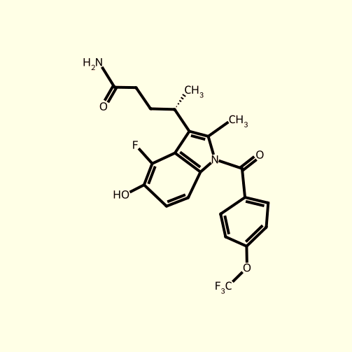 Cc1c([C@@H](C)CCC(N)=O)c2c(F)c(O)ccc2n1C(=O)c1ccc(OC(F)(F)F)cc1